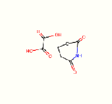 O=C(O)C(=O)O.O=C1CCCC(=O)N1